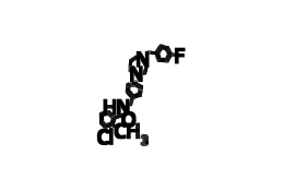 Cc1c(Cl)cccc1C(=O)NCc1ccc(N2CCCN(Cc3ccc(F)cc3)CC2)cc1